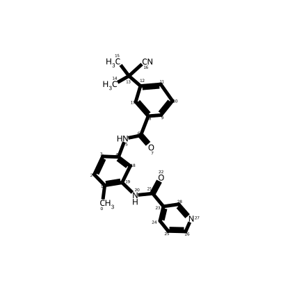 Cc1ccc(NC(=O)c2cccc(C(C)(C)C#N)c2)cc1NC(=O)c1cccnc1